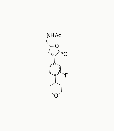 CC(=O)NCC1C=C(c2ccc(C3C=COCC3)c(F)c2)C(=O)O1